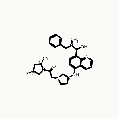 CN(Cc1ccccc1)C(O)c1ccc(N[C@H]2CCN(CC(=O)N3C[C@@H](F)C[C@H]3C#N)C2)c2cccnc12